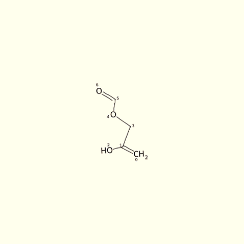 C=C(O)COC=O